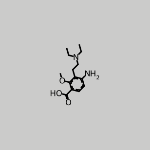 CCN(CC)CCc1c(N)ccc(C(=O)O)c1OC